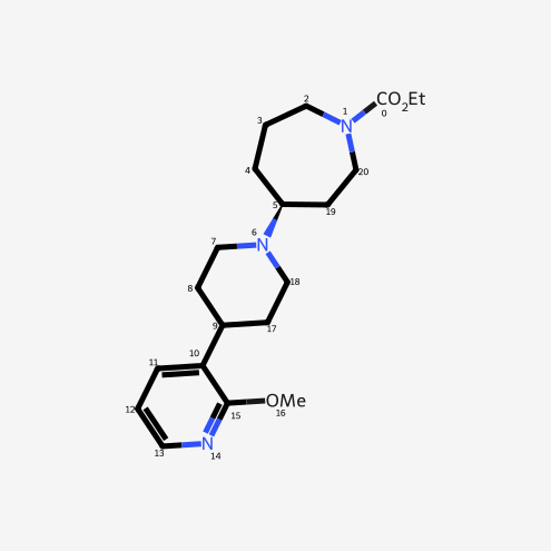 CCOC(=O)N1CCC[C@H](N2CCC(c3cccnc3OC)CC2)CC1